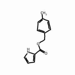 Cc1ccc(COC(=O)c2ccc[nH]2)cc1